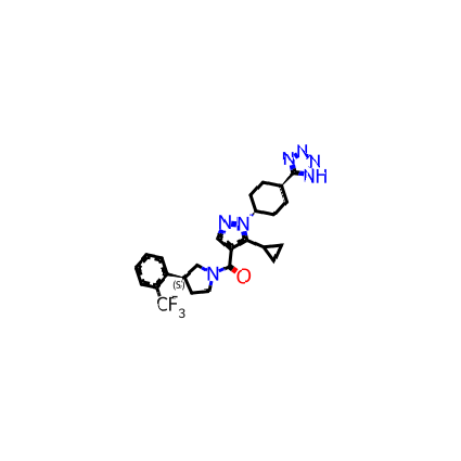 O=C(c1cnn([C@H]2CC[C@H](c3nnn[nH]3)CC2)c1C1CC1)N1CC[C@@H](c2ccccc2C(F)(F)F)C1